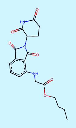 CCCCOC(=O)CNc1cccc2c1C(=O)N(C1CCC(=O)NC1=O)C2=O